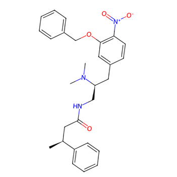 C[C@@H](CC(=O)NC[C@H](Cc1ccc([N+](=O)[O-])c(OCc2ccccc2)c1)N(C)C)c1ccccc1